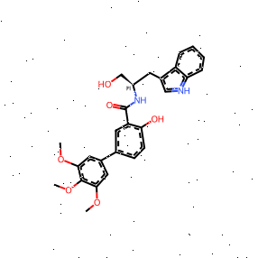 COc1cc(-c2ccc(O)c(C(=O)N[C@@H](CO)Cc3c[nH]c4ccccc34)c2)cc(OC)c1OC